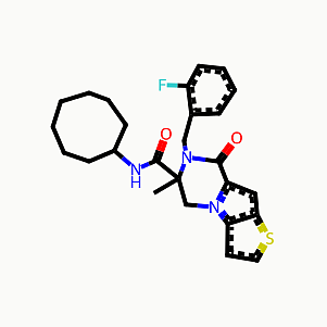 CC1(C(=O)NC2CCCCCCC2)Cn2c(cc3sccc32)C(=O)N1Cc1ccccc1F